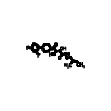 C/C=C(\C)CCNC(=O)[C@H](O)[C@@H](O)C(=O)N1CCN(c2ccc(F)cc2F)CC1